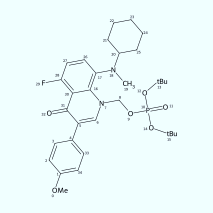 COc1ccc(-c2cn(COP(=O)(OC(C)(C)C)OC(C)(C)C)c3c(N(C)C4CCCCC4)ccc(F)c3c2=O)cc1